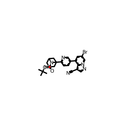 CC(C)(C)OC(=O)N1C2CNCC1(c1ccc(-c3cc(Br)cn4ncc(C#N)c34)cn1)C2